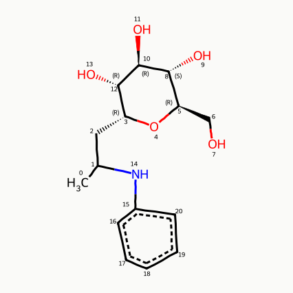 CC(C[C@H]1O[C@H](CO)[C@@H](O)[C@H](O)[C@H]1O)Nc1ccccc1